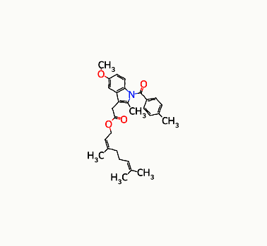 COc1ccc2c(c1)c(CC(=O)OCC=C(C)CCC=C(C)C)c(C)n2C(=O)c1ccc(C)cc1